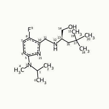 CC(C)N(C)c1ccc(F)c(CN[C@@H](CO)CC(C)(C)C)n1